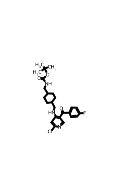 CC(C)(C)OC(=O)NCC1CCC(CNc2cc(Cl)ncc2C(=O)c2ccc(F)cc2)CC1